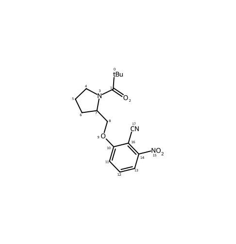 CC(C)(C)C(=O)N1CCCC1COc1cccc([N+](=O)[O-])c1C#N